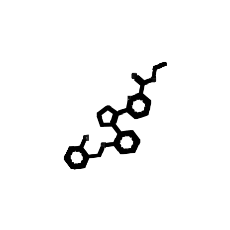 CCOC(=O)c1cccc(C2=C(c3ccccc3OCc3ccccc3Cl)CCC2)n1